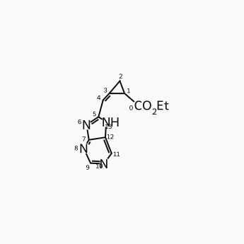 CCOC(=O)C1CC1=Cc1nc2ncncc2[nH]1